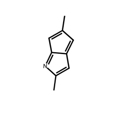 CC1=CC2=NC(C)=CC2=C1